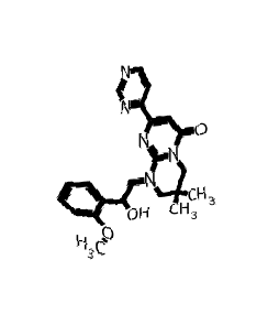 COc1ccccc1C(O)CN1CC(C)(C)Cn2c1nc(-c1ccncn1)cc2=O